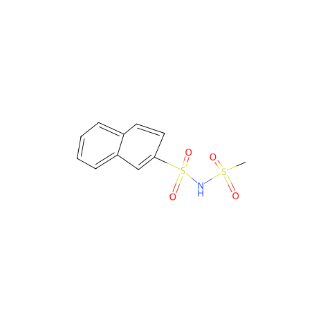 CS(=O)(=O)NS(=O)(=O)c1ccc2ccccc2c1